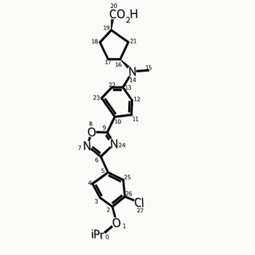 CC(C)Oc1ccc(-c2noc(-c3ccc(N(C)[C@H]4CC[C@@H](C(=O)O)C4)cc3)n2)cc1Cl